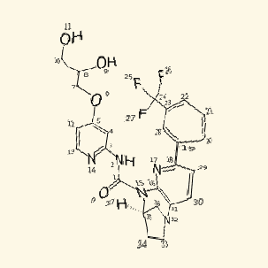 O=C(Nc1cc(OCC(O)CO)ccn1)N1c2nc(-c3cccc(C(F)(F)F)c3)ccc2N2CC[C@@H]1C2